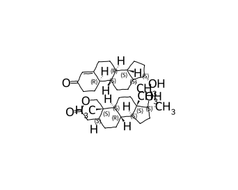 C[C@]12CC[C@H]3[C@@H](CCC4=CC(=O)CC[C@@H]43)[C@@H]1CC[C@@H]2O.C[C@]12COC(=O)C[C@@H]1CC[C@@H]1[C@@H]2CC[C@@]2(C)[C@H]1CC[C@]2(C)O